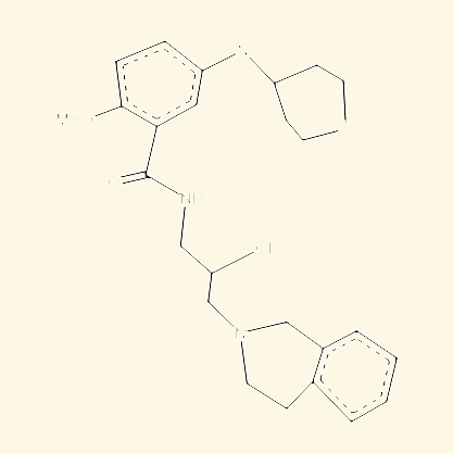 COc1ccc(NC2CCOCC2)cc1C(=O)NCC(O)CN1CCc2ccccc2C1